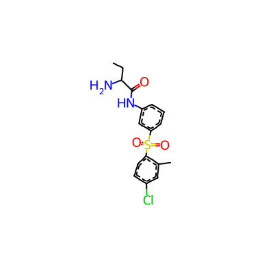 CCC(N)C(=O)Nc1cccc(S(=O)(=O)c2ccc(Cl)cc2C)c1